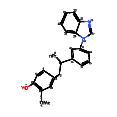 CCCC(Cc1ccc(O)c(OC)c1)c1cccc(-n2cnc3ccccc32)c1